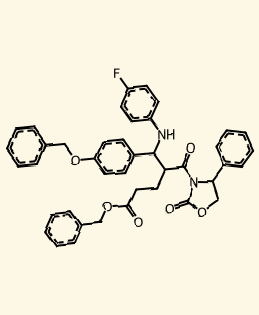 O=C(CCC(C(=O)N1C(=O)OCC1c1ccccc1)C(Nc1ccc(F)cc1)c1ccc(OCc2ccccc2)cc1)OCc1ccccc1